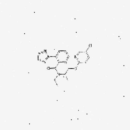 CCN(C(=O)c1ncccc1-n1nccn1)[C@@H](C)COc1ccc(Cl)cn1